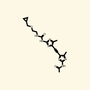 CC(=O)Nc1nc(C)c(C#Cc2sc(NC(=O)NCCOCC3CC3)nc2C)s1